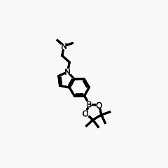 CN(C)CCn1ccc2cc(B3OC(C)(C)C(C)(C)O3)ccc21